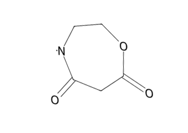 O=C1CC(=O)OCC[N]1